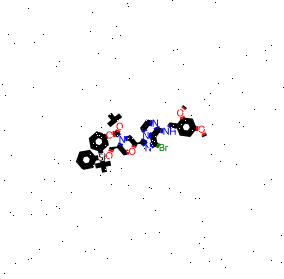 COc1ccc(CNc2nccn3c([C@@H]4CN(C(=O)OC(C)(C)C)[C@H](CO[Si](c5ccccc5)(c5ccccc5)C(C)(C)C)CO4)nc(Br)c23)c(OC)c1